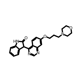 O=C1Nc2ccccc2C1c1ncnc2cc(OCCCN3CCOCC3)ccc12